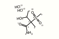 CC(O)C(C)(C(N)=O)S(C)(=O)=O.Cl.Cl